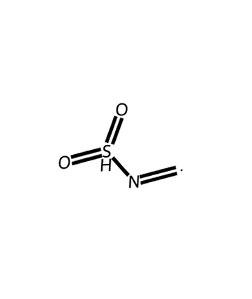 [CH]=N[SH](=O)=O